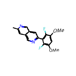 COc1cc(OC)c(F)c(-c2cc3cnc(C)cc3cn2)c1F